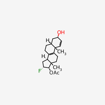 CC(=O)O[C@H]1[C@H](F)C[C@H]2C3=C(CC[C@@]21C)[C@@]1(C)C=C[C@H](O)C[C@H]1CC3